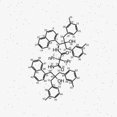 CCCC(CCC)(C(=O)N[C@@H](c1cccc2ccccc12)C(O)(Cc1cccc(C)c1)Cc1cccc(C)c1)C(=O)N[C@@H](c1cccc2ccccc12)C(O)(Cc1cccc(C)c1)Cc1cccc(C)c1